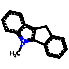 Cn1c2c(c3ccccc31)Cc1[c]cccc1-2